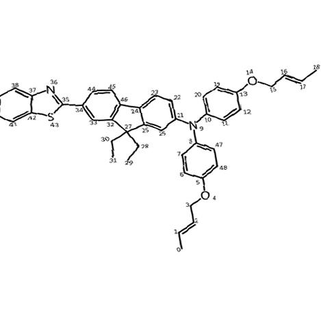 C/C=C/COc1ccc(N(c2ccc(OC/C=C/C)cc2)c2ccc3c(c2)C(CC)(CC)c2cc(-c4nc5ccccc5s4)ccc2-3)cc1